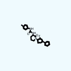 Cc1ccc(NC(=O)NC2CCCN(c3ccc(-c4ccccc4)cc3F)C2=O)cc1